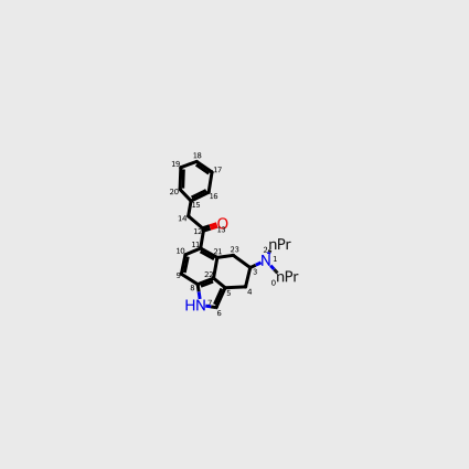 CCCN(CCC)C1Cc2c[nH]c3ccc(C(=O)Cc4ccccc4)c(c23)C1